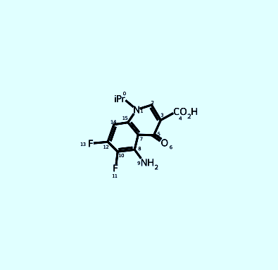 CC(C)n1cc(C(=O)O)c(=O)c2c(N)c(F)c(F)cc21